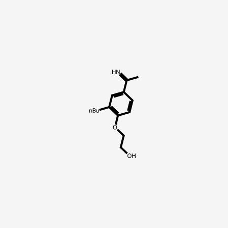 CCCCc1cc(C(C)=N)ccc1OCCO